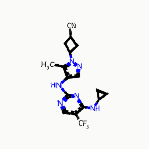 Cc1c(Nc2ncc(C(F)(F)F)c(NC3CC3)n2)cnn1C1CC(C#N)C1